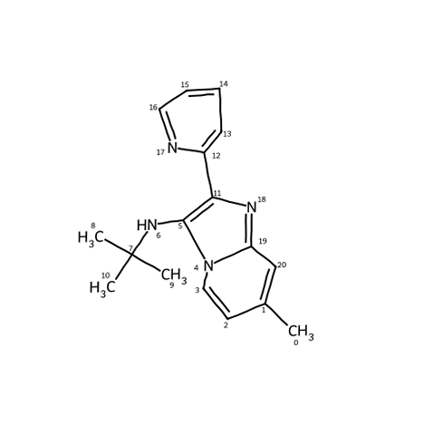 Cc1ccn2c(NC(C)(C)C)c(-c3ccccn3)nc2c1